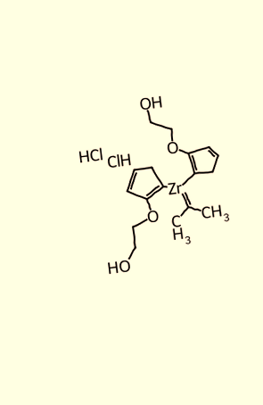 C[C](C)=[Zr]([C]1=C(OCCO)C=CC1)[C]1=C(OCCO)C=CC1.Cl.Cl